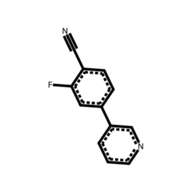 N#Cc1ccc(-c2cccnc2)cc1F